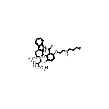 CC(CN1[C@H](c2c(F)ccc(OCCNCCCF)c2C(F)F)c2[nH]c3ccccc3c2C[C@H]1C)C(=O)O